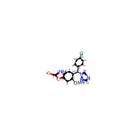 COc1cc2oc(=O)[nH]c2cc1C(c1ccc(Cl)cc1)n1cncn1